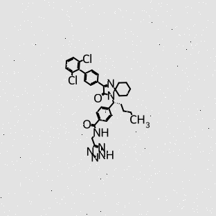 CCCC[C@H](c1ccc(C(=O)NCc2nn[nH]n2)cc1)N1C(=O)C(c2ccc(-c3c(Cl)cccc3Cl)cc2)=NC12CCCCC2